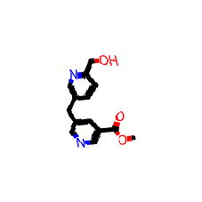 COC(=O)c1cncc(Cc2ccc(CO)nc2)c1